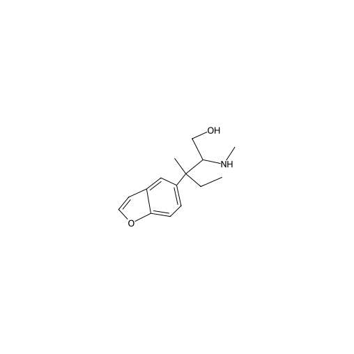 CCC(C)(c1ccc2occc2c1)C(CO)NC